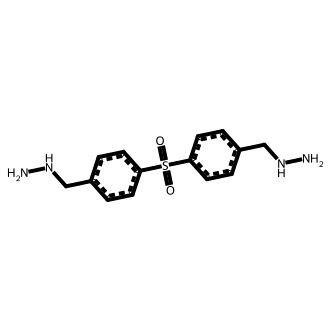 NNCc1ccc(S(=O)(=O)c2ccc(CNN)cc2)cc1